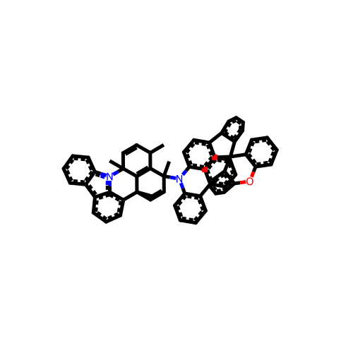 CC1C=CC2(C)C3=C1C(C)(N(c1ccc4c(c1)C1(c5ccccc5Oc5ccccc51)c1ccccc1-4)c1ccccc1-c1ccccc1)C=CC3(C)c1cccc3c4ccccc4n2c13